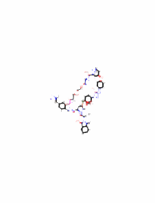 Cc1ncsc1-c1ccc(CNC(=O)[C@@H]2C[C@@H](O)CN2C(=O)C(C(C)C)N2C(=O)c3ccccc3C2I)c(OCCCOCCOCCNC(=O)c2cc(Oc3ccc(NC(=O)Nc4ccc(Cl)c(C(F)(F)F)c4)cc3)ccn2)c1